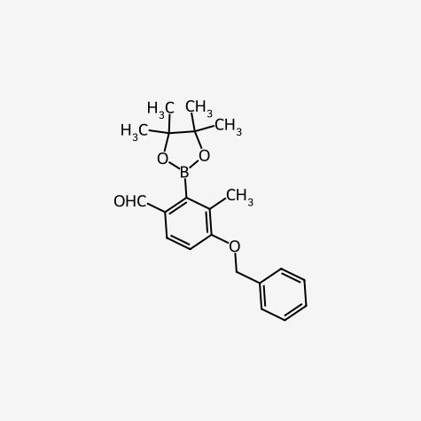 Cc1c(OCc2ccccc2)ccc(C=O)c1B1OC(C)(C)C(C)(C)O1